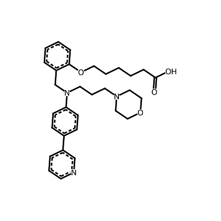 O=C(O)CCCCCOc1ccccc1CN(CCCN1CCOCC1)c1ccc(-c2cccnc2)cc1